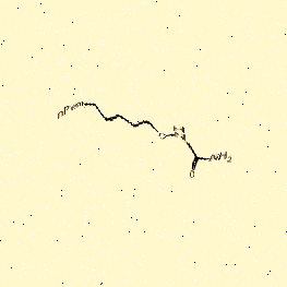 CCCCCCCCCCONC(N)=O